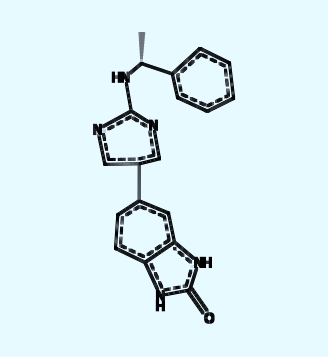 C[C@@H](Nc1ncc(-c2ccc3[nH]c(=O)[nH]c3c2)cn1)c1ccccc1